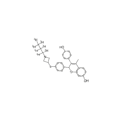 [2H]C([2H])([2H])C([2H])([2H])C([2H])([2H])N1CC(Sc2ccc(C3Oc4cc(O)ccc4C(C)=C3c3ccc(O)cc3)cc2)C1